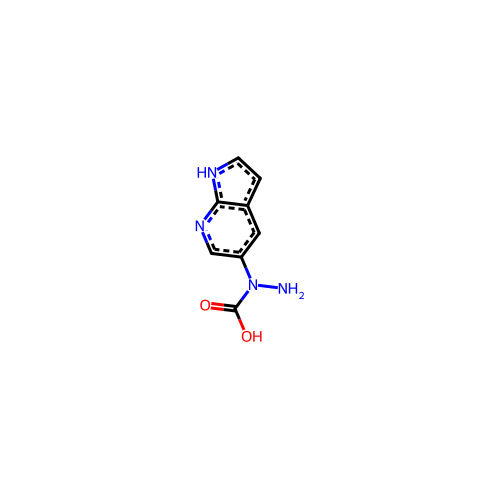 NN(C(=O)O)c1cnc2[nH]ccc2c1